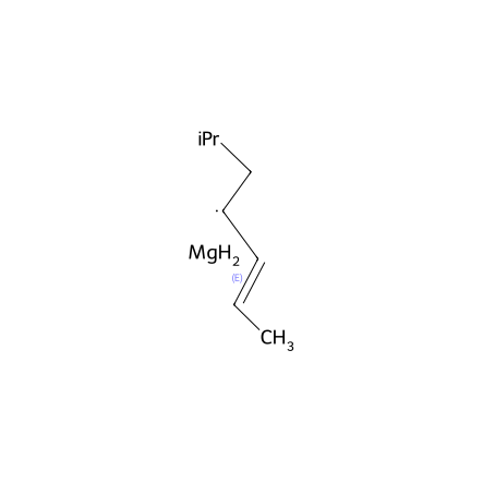 C/C=C/[CH]CC(C)C.[MgH2]